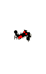 CC1(C2CC[C@]3(C(=O)N4CCC[C@H]4c4ncc(-c5cccc(F)c5)[nH]4)CC[C@]4(C)[C@H](CC[C@@H]5[C@]6(C)CC[C@H]([C@@]7(C(=O)O)C[C@@H](C(=O)OCc8ccccc8)C7(C)C)C(C)(C)[C@H]6CC[C@]54C)[C@@H]23)CC1